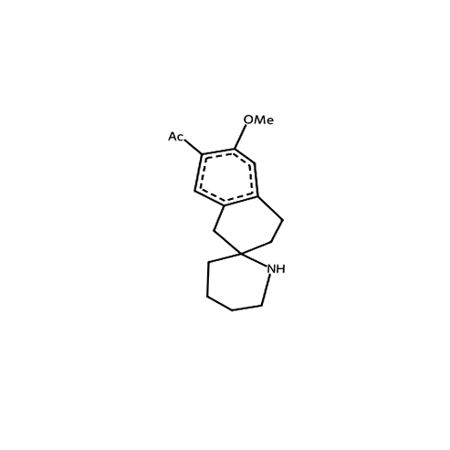 COc1cc2c(cc1C(C)=O)CC1(CCCCN1)CC2